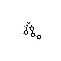 CCCCC(C)(C)c1nnc(-c2cccc(Br)c2)n1-c1cc(-c2cccc(-c3ccccc3)c2)ccc1C